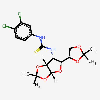 CC1(C)O[C@H]2O[C@H]([C@H]3COC(C)(C)O3)[C@@H](NC(=S)Nc3ccc(Cl)c(Cl)c3)[C@H]2O1